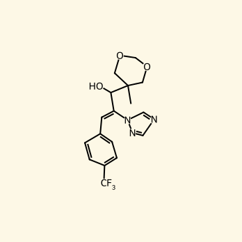 CC1(C(O)C(=Cc2ccc(C(F)(F)F)cc2)n2cncn2)COCOC1